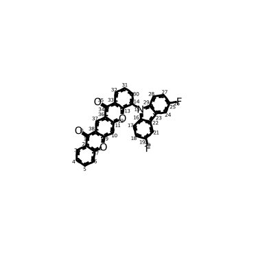 O=c1c2ccccc2oc2cc3oc4c(-n5c6ccc(F)cc6c6cc(F)ccc65)cccc4c(=O)c3cc12